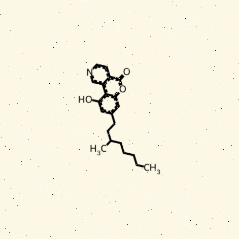 CCCCCC(C)CCc1cc(O)c2c(c1)oc(=O)c1ccncc12